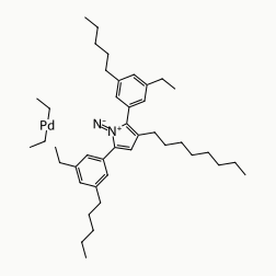 CCCCCCCCC1=C(c2cc(CC)cc(CCCCC)c2)[N+](=[N-])C(c2cc(CC)cc(CCCCC)c2)=C1.C[CH2][Pd][CH2]C